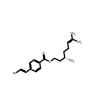 CC(C)=CCC[C@H](C)CCOC(=O)c1ccc(/C=C/Br)cc1